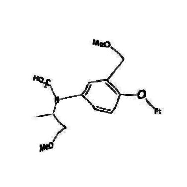 CCOc1ccc(N(C(=O)O)C(C)COC)cc1COC